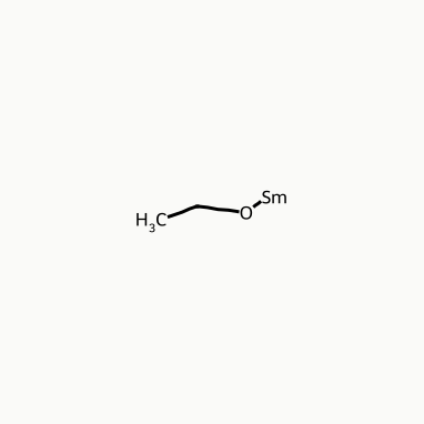 CC[O][Sm]